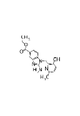 CCOC(=O)c1ccc2c(c1)nc(N)n2Cc1nc(C)ccc1O